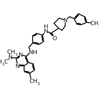 Cc1ccc(CN2CCC(C(=O)Nc3ccc(CNc4nc(N(C)C)nc5cc(C)ccc45)cc3)CC2)cc1